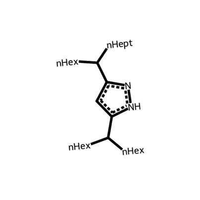 CCCCCCCC(CCCCCC)c1cc(C(CCCCCC)CCCCCC)[nH]n1